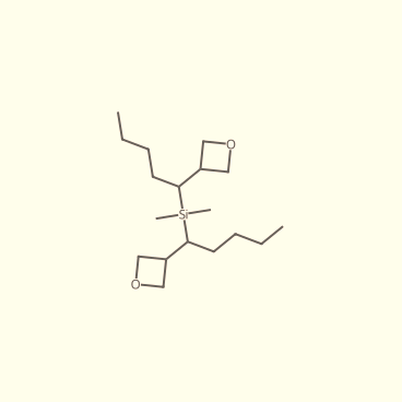 CCCCC(C1COC1)[Si](C)(C)C(CCCC)C1COC1